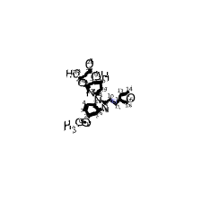 COc1ccc2c(c1)nc(/C=C/c1ccoc1)n2-c1ccccn1.O=C(O)C(=O)O